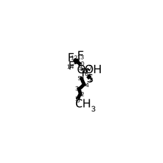 CCCCCCP(O)(=S)OCC(F)(F)F